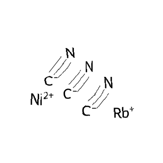 [C-]#N.[C-]#N.[C-]#N.[Ni+2].[Rb+]